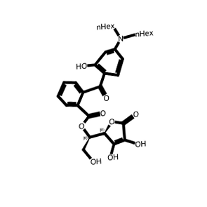 CCCCCCN(CCCCCC)c1ccc(C(=O)c2ccccc2C(=O)O[C@H](CO)[C@H]2OC(=O)C(O)=C2O)c(O)c1